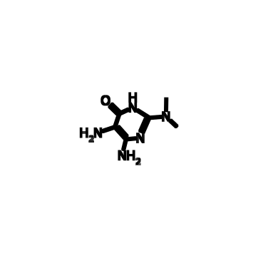 CN(C)c1nc(N)c(N)c(=O)[nH]1